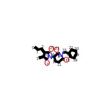 C=C/C=C1\C(=C)C(=O)N(C2CCC(=O)N(Cc3ccccc3)C2=O)C1=O